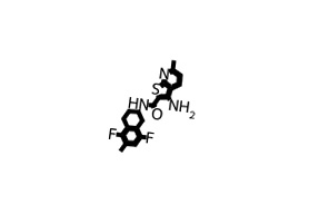 Cc1ccc2c(N)c(C(=O)N[C@H]3CCc4c(F)c(C)cc(F)c4C3)sc2n1